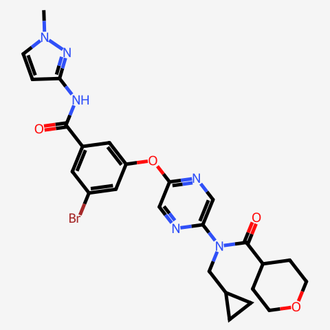 Cn1ccc(NC(=O)c2cc(Br)cc(Oc3cnc(N(CC4CC4)C(=O)C4CCOCC4)cn3)c2)n1